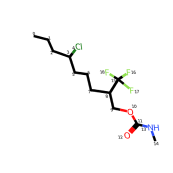 CCCC(Cl)CCCC(COC(=O)NC)C(F)(F)F